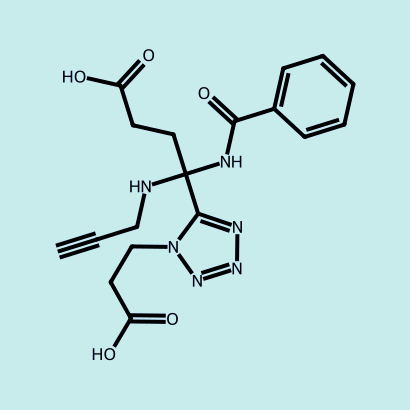 C#CCNC(CCC(=O)O)(NC(=O)c1ccccc1)c1nnnn1CCC(=O)O